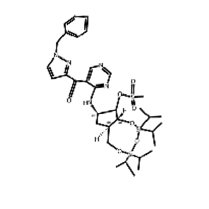 CC(C)[Si]1(C(C)C)OC[C@H]2C[C@@H](Nc3ncncc3C(=O)c3ccn(Cc4ccccc4)n3)C(OS(C)(=O)=O)[C@@H]2O[Si](C(C)C)(C(C)C)O1